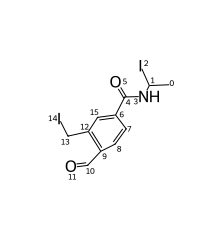 CC(I)NC(=O)c1ccc(C=O)c(CI)c1